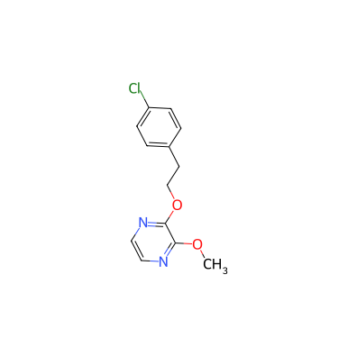 COc1nccnc1OCCc1ccc(Cl)cc1